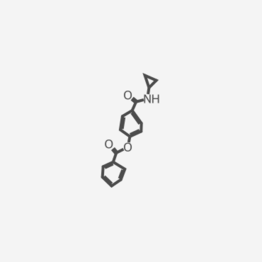 O=C(NC1CC1)c1ccc(OC(=O)c2ccccc2)cc1